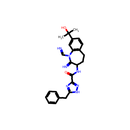 CC(C)(O)c1ccc2c(c1)N(C=N)C(=N)C(NC(=O)c1n[nH]c(Cc3ccccc3)n1)CC2